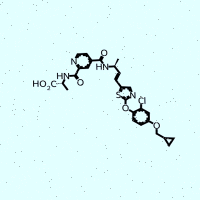 C[C@@H](/C=C/c1cnc(Oc2ccc(OCC3CC3)cc2Cl)s1)NC(=O)c1ccnc(C(=O)N[C@H](C)C(=O)O)c1